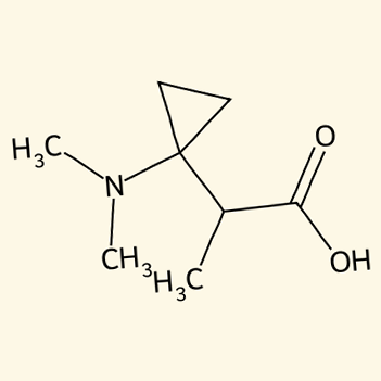 CC(C(=O)O)C1(N(C)C)CC1